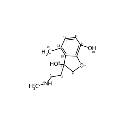 CNCCC1(O)COc2c(O)ccc(C)c21